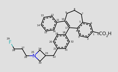 O=C(O)c1ccc2c(c1)CCCC(c1ccccc1)=C2c1ccc(CC2CN(CCCF)C2)cc1